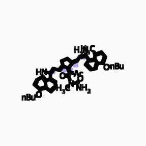 CCCCOc1ccc(C)c2c(\C(N)=C/C=C3\CCC(=C/C=c4/[nH]c5ccc(OCCCC)c6cccc4c56)\C3=C(\C(C)=O)C(=O)N(C)C(N)=O)cccc12